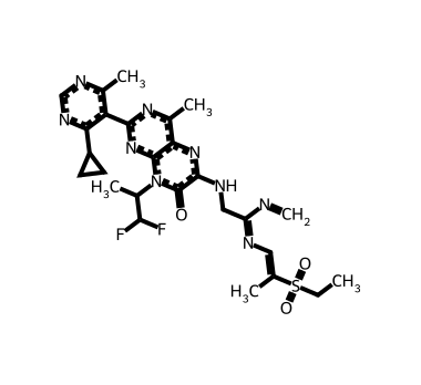 C=N/C(CNc1nc2c(C)nc(-c3c(C)ncnc3C3CC3)nc2n(C(C)C(F)F)c1=O)=N\C=C(/C)S(=O)(=O)CC